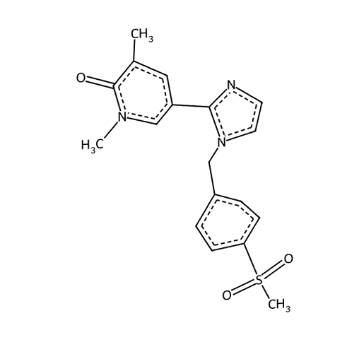 Cc1cc(-c2nccn2Cc2ccc(S(C)(=O)=O)cc2)cn(C)c1=O